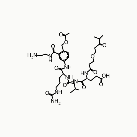 CC(=O)OCc1ccc(NC(=O)[C@H](CCCNC(N)=O)NC(=O)[C@@H](NC(=O)[C@H](CCC(=O)O)NC(=O)CCOCCC(=O)C(C)C)C(C)C)cc1C(=O)NCCN